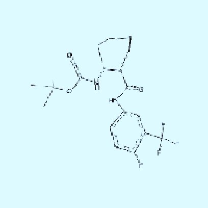 CC(C)(C)OC(=O)NC1CCCCC1C(=O)Nc1ccc(F)c(C(F)(F)F)c1